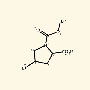 CCC1CC(C(=O)O)N(C(=O)OC(C)(C)C)C1